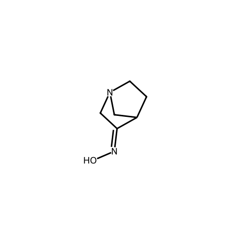 ON=C1CN2CCC1C2